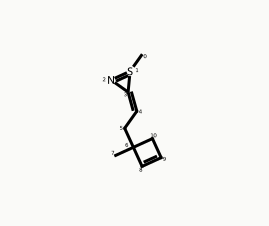 CS1=NC/1=C\CC1(C)C=CC1